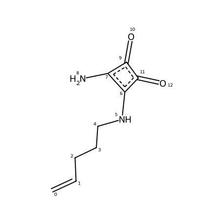 C=CCCCNc1c(N)c(=O)c1=O